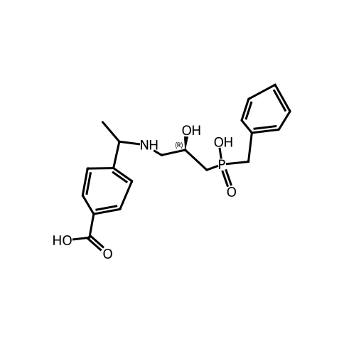 CC(NC[C@@H](O)CP(=O)(O)Cc1ccccc1)c1ccc(C(=O)O)cc1